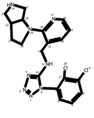 Clc1cccc(-n2nnnc2NCc2cccnc2N2CCC3CNCC32)c1Cl